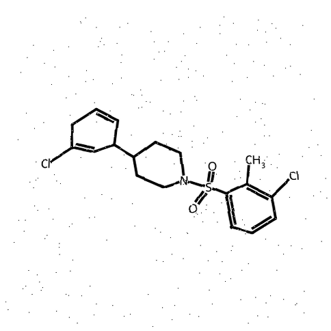 Cc1c(Cl)cccc1S(=O)(=O)N1CCC(C2C=CCC(Cl)=C2)CC1